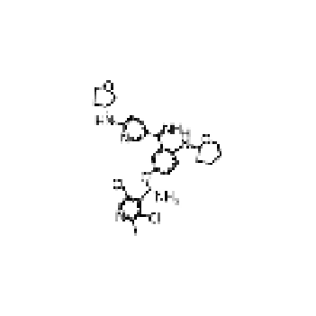 Cc1ncc(Cl)c([C@@H](N)Oc2ccc(NC3CCCCO3)c(C(=N)c3ccc(N[C@@H]4CCOC4)nc3)c2)c1Cl